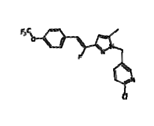 Cc1cc(C(F)=Cc2ccc(OC(F)(F)F)cc2)nn1Cc1ccc(Cl)nc1